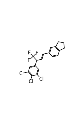 FC(F)(F)C(/C=C/c1ccc2c(c1)CCC2)c1cc(Cl)c(Cl)c(Cl)c1